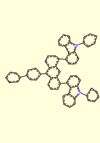 c1ccc(-c2ccc(-c3c4cccc(-c5cccc6c5c5ccccc5n6-c5ccccc5)c4cc4c(-c5cccc6c5c5ccccc5n6-c5ccccc5)cccc34)cc2)cc1